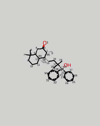 C[C@H]1C(=O)CC2C(C)(C)CCC[C@]2(C)[C@H]1CCC(C)(C)[Si](O)(c1ccccc1)c1ccccc1